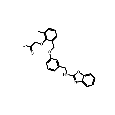 Cc1cccc(COc2cccc(CNc3nc4ccccc4o3)c2)c1OCC(=O)O